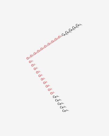 [Ce+3].[Ce+3].[Ce+3].[Ce+3].[Ce+3].[Ce+3].[Ce+3].[Ce+3].[Ce+3].[Ce+3].[O-2].[O-2].[O-2].[O-2].[O-2].[O-2].[O-2].[O-2].[O-2].[O-2].[O-2].[O-2].[O-2].[O-2].[O-2].[O-2].[O-2].[O-2].[O-2].[O-2]